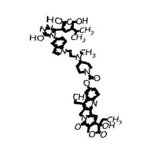 CCc1c2c(nc3ccc(OC(=O)N4CCC(N(C)CCn5ccc6cc(-n7c(O)nnc7-c7cc(C(C)C)c(O)cc7O)ccc65)CC4)cc13)-c1cc3c(c(=O)n1C2)COC(=O)C3(O)CC